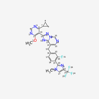 COc1ncnc(C2CC2)c1-c1nc2c(Cc3ccc(-c4nc(C(F)(F)F)cn4C)c(F)c3)cncn2n1